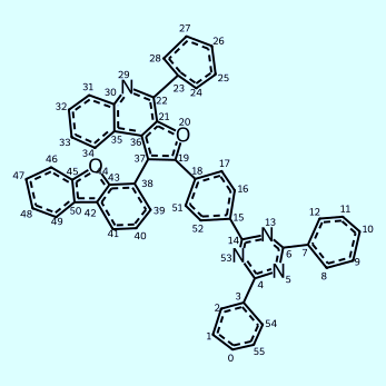 c1ccc(-c2nc(-c3ccccc3)nc(-c3ccc(-c4oc5c(-c6ccccc6)nc6ccccc6c5c4-c4cccc5c4oc4ccccc45)cc3)n2)cc1